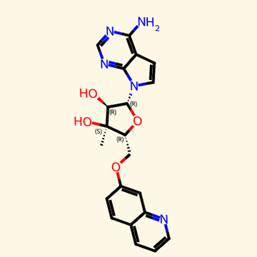 C[C@@]1(O)[C@@H](COc2ccc3cccnc3c2)O[C@@H](n2ccc3c(N)ncnc32)[C@@H]1O